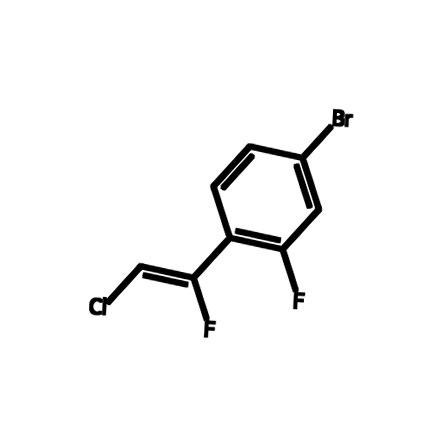 FC(=CCl)c1ccc(Br)cc1F